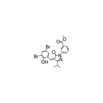 COC(=O)c1cccc(N2N=C(C(C)C)C(=Cc3cc(Br)cc(Br)c3O)C2=O)c1